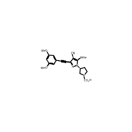 CNc1c(C#N)c(C#Cc2cc(OC)cc(OC)c2)nn1[C@H]1CCN(C(=O)O)C1